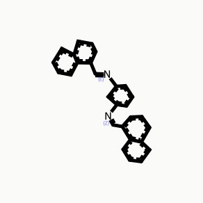 C(=N/c1cccc(/N=C/c2cccc3ccccc23)c1)/c1cccc2ccccc12